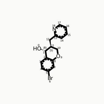 O[C@H]1c2ccc(Br)cc2OC[C@@H]1Cc1ccccn1